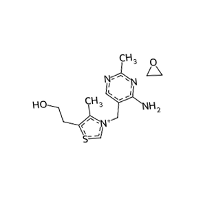 C1CO1.Cc1ncc(C[n+]2csc(CCO)c2C)c(N)n1